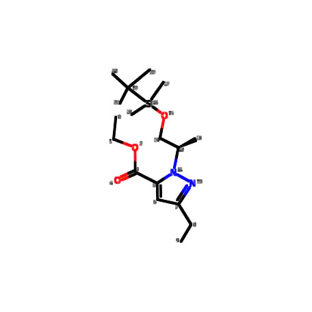 CCOC(=O)c1cc(CC)nn1[C@H](C)CO[Si](C)(C)C(C)(C)C